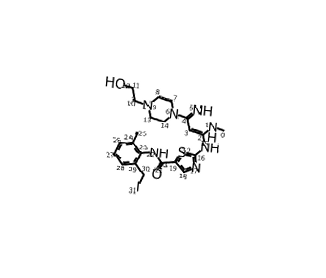 CN/C(=C\C(=N)N1CCN(CCO)CC1)Nc1ncc(C(=O)Nc2c(C)cccc2CI)s1